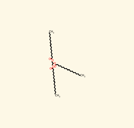 CCCCCCCC/C=C/CCCCCCCC(=O)OCC(COC(=O)CCCCCCC/C=C/CCCCCCCC)OC(=O)CCCCCCC/C=C/CCCCCCCC